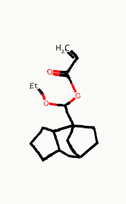 C=CC(=O)OC(OCC)C12CCC(C1)C1CCCC12